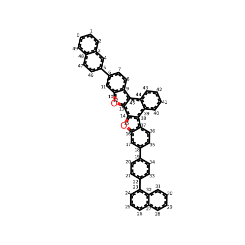 c1ccc2cc(-c3ccc4c(c3)oc3c5oc6cc(-c7ccc(-c8cccc9ccccc89)cc7)ccc6c5c5ccccc5c43)ccc2c1